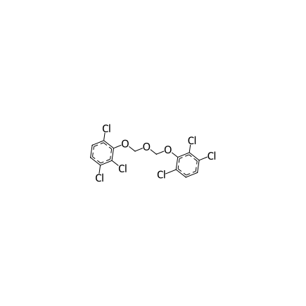 Clc1ccc(Cl)c(OCOCOc2c(Cl)ccc(Cl)c2Cl)c1Cl